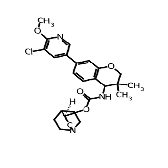 COc1ncc(-c2ccc3c(c2)OCC(C)(C)C3NC(=O)O[C@H]2CN3CCC2CC3)cc1Cl